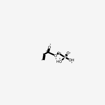 C=CC(=O)OOP(=O)(O)O